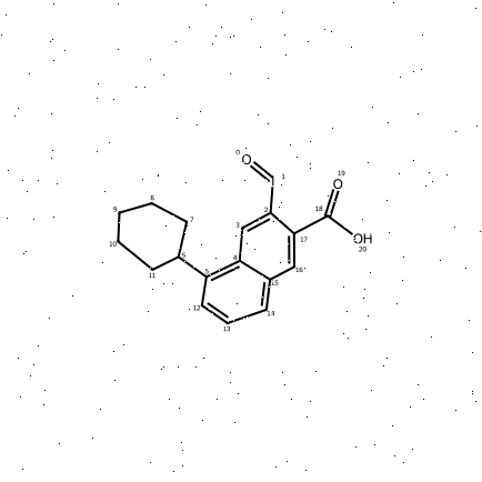 O=Ic1cc2c(C3CCCCC3)cccc2cc1C(=O)O